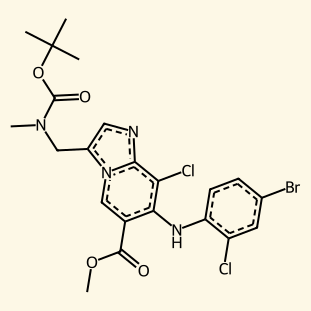 COC(=O)c1cn2c(CN(C)C(=O)OC(C)(C)C)cnc2c(Cl)c1Nc1ccc(Br)cc1Cl